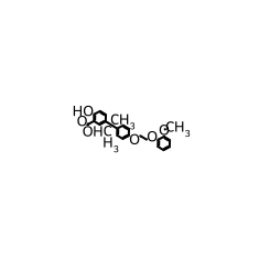 COc1ccccc1OCCOc1ccc(C(C)(C)c2ccc(O)c(C(=O)O)c2)cc1